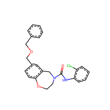 O=C(Nc1ccccc1Cl)N1CCOc2ccc(COCc3ccccc3)cc2C1